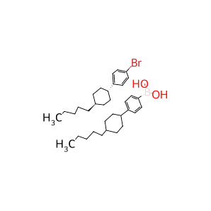 CCCCCC1CCC(c2ccc(B(O)O)cc2)CC1.CCCCC[C@H]1CC[C@H](c2ccc(Br)cc2)CC1